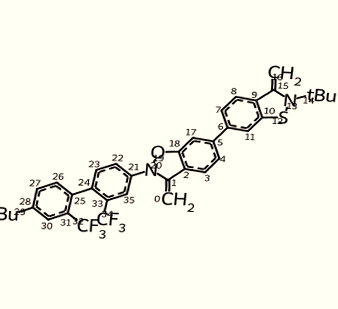 C=C1c2ccc(-c3ccc4c(c3)SN(C(C)(C)C)C4=C)cc2ON1c1ccc(-c2ccc(C(C)(C)C)cc2C(F)(F)F)c(C(F)(F)F)c1